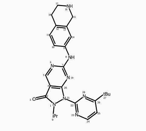 CC(C)n1c(=O)c2cnc(Nc3ccc4c(c3)CNCC4)nc2n1-c1nccc(C(C)(C)C)n1